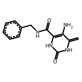 C=C1NC(=O)NC(C(=O)NCc2ccccc2)=C1N